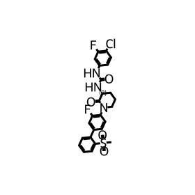 CS(=O)(=O)c1ccccc1-c1ccc(N2CCC[C@@H](NC(=O)Nc3ccc(Cl)c(F)c3)C2=O)c(F)c1